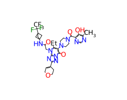 CCc1c(N2CCN(C(=O)c3ncnc(C)c3O)CC2)c(=O)n2nc(C3=CCOCC3)nc2n1CC(=O)NC12CC(C(F)(F)C(F)(F)F)(C1)C2